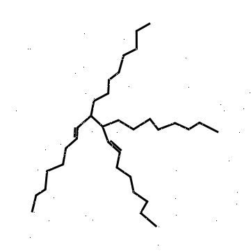 [CH2]CCCCCC=CC(CCCCCCCC)C(C=CCCCCC[CH2])CCCCCCCC